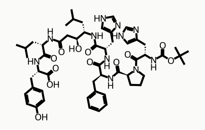 CC(C)C[C@H](NC(=O)C[C@H](O)[C@H](CC(C)C)NC(=O)[C@H](Cc1c[nH]cn1)NC(=O)[C@H](Cc1ccccc1)NC(=O)[C@@H]1CCCN1C(=O)[C@H](Cc1c[nH]cn1)NC(=O)OC(C)(C)C)C(=O)N[C@@H](Cc1ccc(O)cc1)C(=O)O